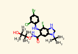 BC(B)(B)N1CNc2c1cc(C(=O)NOC(B)(B)C(B)(B)O)c(Nc1ccc(Br)cc1Cl)c2F